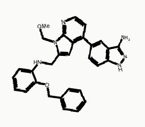 COCn1c(CNc2ccccc2OCc2ccccc2)cc2c(-c3ccc4[nH]nc(N)c4c3)ccnc21